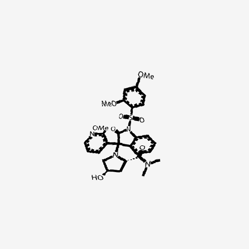 COc1ccc(S(=O)(=O)N2C(=O)C(c3cccnc3OC)(N3C[C@H](O)C[C@H]3C(=O)N(C)C)c3ccccc32)c(OC)c1